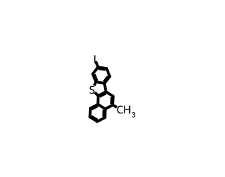 Cc1cc2c3ccc(I)cc3sc2c2ccccc12